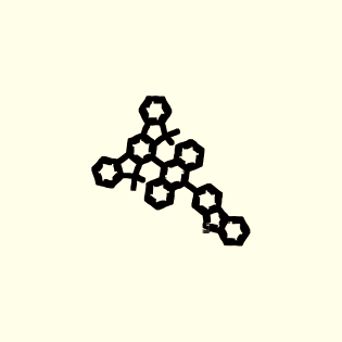 CC1(C)c2ccccc2-c2cc3c(c(-c4c5ccccc5c(-c5ccc6c(c5)sc5ccccc56)c5ccccc45)c21)C(C)(C)c1ccccc1-3